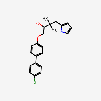 CC(C)(Cc1ccc[nH]1)C(O)COc1ccc(-c2ccc(Cl)cc2)cc1